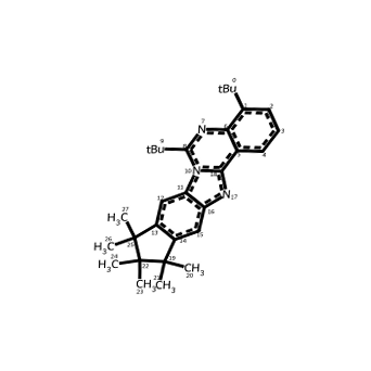 CC(C)(C)c1cccc2c1nc(C(C)(C)C)n1c3cc4c(cc3nc21)C(C)(C)C(C)(C)C4(C)C